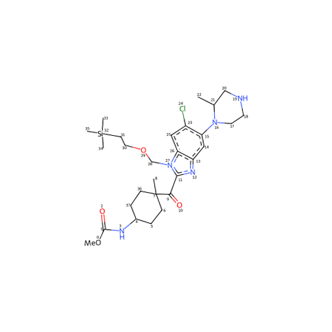 COC(=O)NC1CCC(C)(C(=O)c2nc3cc(N4CCNCC4C)c(Cl)cc3n2COCC[Si](C)(C)C)CC1